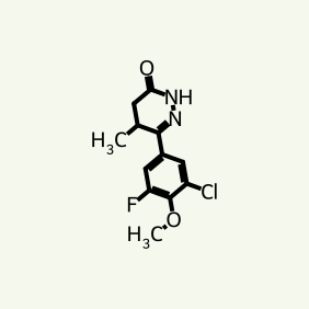 COc1c(F)cc(C2=NNC(=O)CC2C)cc1Cl